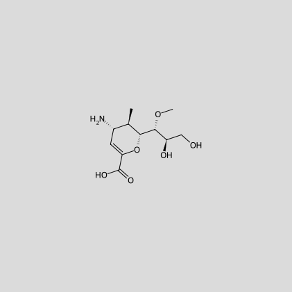 CO[C@@H]([C@@H]1OC(C(=O)O)=C[C@H](N)[C@H]1C)[C@H](O)CO